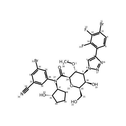 CO[C@@H]1[C@@H](n2cc(-c3ccc(Br)c(F)c3F)nn2)[C@@H](O)[C@@H](CO)O[C@H]1C(=O)N(c1cc(Br)cc(C#N)c1)[C@H]1CCC[C@@H]1O